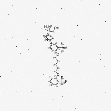 CC(N)(CO)c1nnc(-c2ccc(OCCCCCOc3ccccc3C(F)(F)F)c(C(F)(F)F)c2)s1